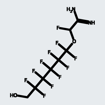 N=C(N)C(F)OC(F)(F)C(F)(F)C(F)(F)C(F)(F)C(F)(F)CO